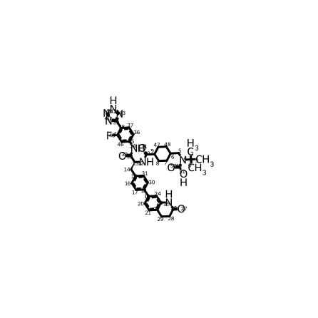 CC(C)(C)N(CC1CCC(C(=O)N[C@@H](Cc2ccc(-c3ccc4c(c3)NC(=O)CC4)cc2)C(=O)Nc2ccc(-c3nn[nH]n3)c(F)c2)CC1)C(=O)O